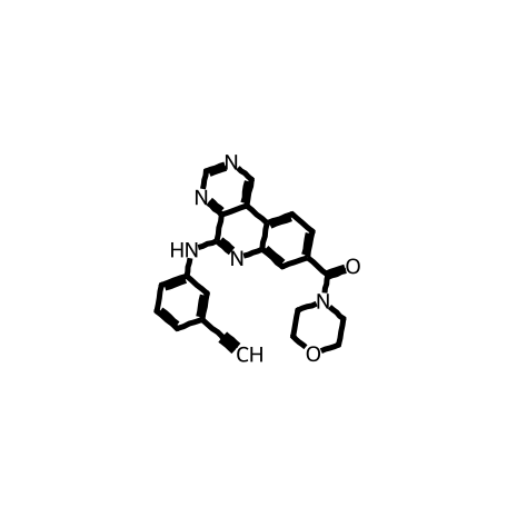 C#Cc1cccc(Nc2nc3cc(C(=O)N4CCOCC4)ccc3c3cncnc23)c1